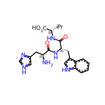 CC(C)[C@H](NC(=O)[C@H](Cc1c[nH]c2ccccc12)NC(=O)[C@@H](N)Cc1c[nH]cn1)C(=O)O